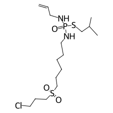 C=CCNP(=O)(NCCCCCCS(=O)(=O)CCCCl)SCC(C)C